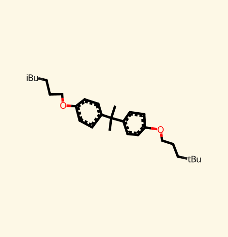 CCC(C)CCCOc1ccc(C(C)(C)c2ccc(OCCCC(C)(C)C)cc2)cc1